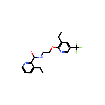 CCc1cc(C(F)(F)F)cnc1OCCNC(O)c1ncccc1CC